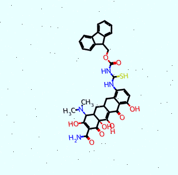 CN(C)[C@@H]1C(O)=C(C(N)=O)C(=O)[C@@]2(O)C(O)=C3C(=O)c4c(O)ccc(NC(S)NC(=O)OCC5c6ccccc6-c6ccccc65)c4CC3CC12